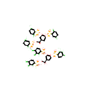 O=C(COS(=O)(=O)c1cc(Cl)ccc1Cl)c1ccc(OS(=O)(=O)c2cc(Cl)ccc2Cl)c(OS(=O)(=O)c2cc(Cl)ccc2Cl)c1.O=C(COS(=O)(=O)c1ccc(Cl)c(Cl)c1Cl)c1ccc(OS(=O)(=O)c2ccc(Cl)c(Cl)c2Cl)c(OS(=O)(=O)c2ccc(Cl)c(Cl)c2Cl)c1